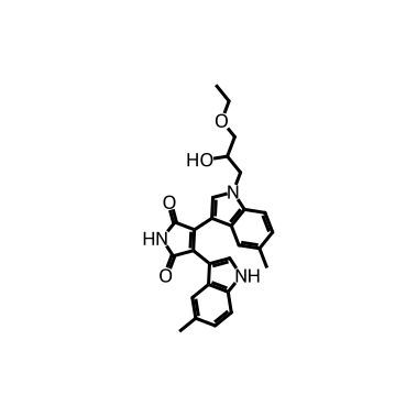 CCOCC(O)Cn1cc(C2=C(c3c[nH]c4ccc(C)cc34)C(=O)NC2=O)c2cc(C)ccc21